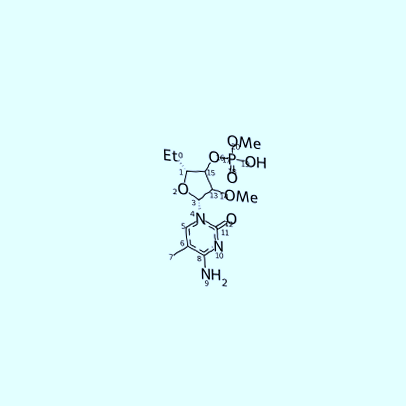 CC[C@H]1O[C@@H](n2cc(C)c(N)nc2=O)C(OC)C1OP(=O)(O)OC